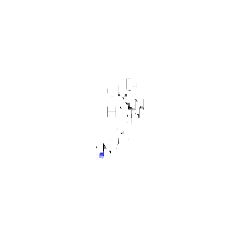 C/C=N\N1C=CC(Oc2cc(F)c(Nc3ncnc4cc(Br)c(Cl)nc34)cc2C)=CC1